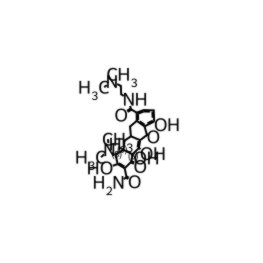 CN(C)CCNC(=O)c1ccc(O)c2c1CC1C[C@H]3[C@H](N(C)C)C(O)=C(C(N)=O)C(=O)[C@@]3(O)C(O)=C1C2=O